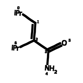 CC(C)/C=C(/C(N)=O)C(C)C